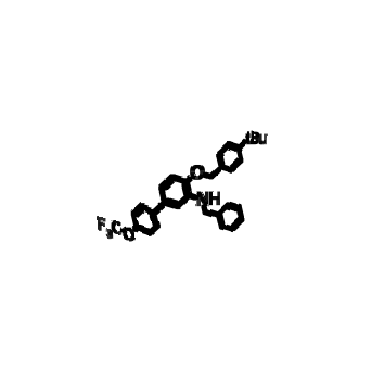 CC(C)(C)c1ccc(COc2ccc(-c3ccc(OC(F)(F)F)cc3)cc2NCc2ccccc2)cc1